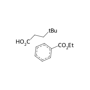 CC(C)(C)CCC(=O)O.CCOC(=O)c1ccccc1